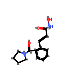 O=C(/C=C/c1ccccc1C(=O)N1CCCC1)NO